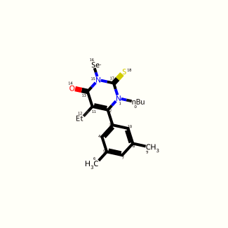 CCCCn1c(-c2cc(C)cc(C)c2)c(CC)c(=O)n([Se])c1=S